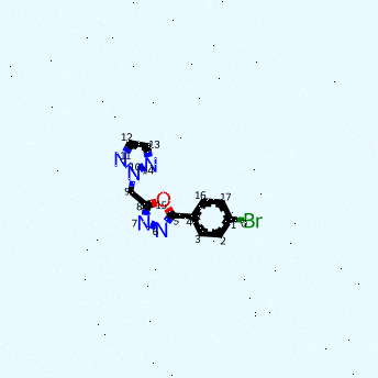 Brc1ccc(-c2nnc(Cn3nccn3)o2)cc1